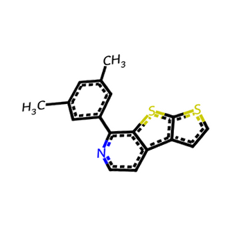 Cc1cc(C)cc(-c2nccc3c2sc2sccc23)c1